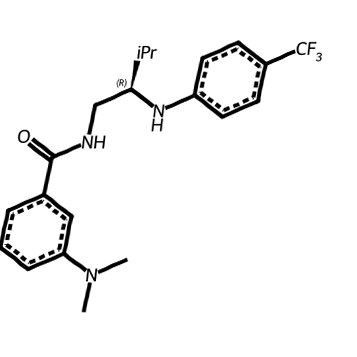 CC(C)[C@H](CNC(=O)c1cccc(N(C)C)c1)Nc1ccc(C(F)(F)F)cc1